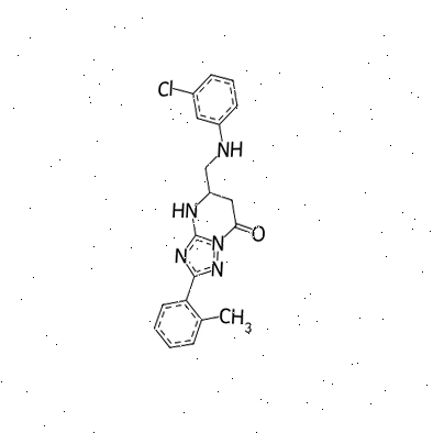 Cc1ccccc1-c1nc2n(n1)C(=O)CC(CNc1cccc(Cl)c1)N2